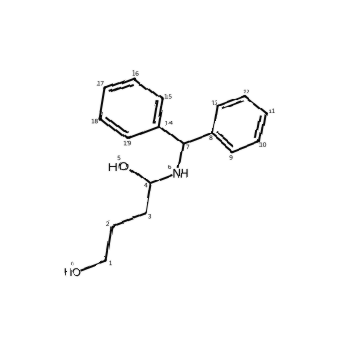 OCCCC(O)NC(c1ccccc1)c1ccccc1